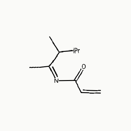 C=CC(=O)/N=C(/C)C(C)C(C)C